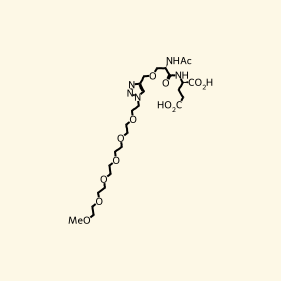 COCCOCCOCCOCCOCCOCCn1cc(COC[C@H](NC(C)=O)C(=O)N[C@H](CCC(=O)O)C(=O)O)nn1